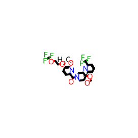 COc1nc(C(=O)N2CC[C@]3(c4cccc(C(F)(F)F)n4)OCOC3C2)ccc1OCCOC(F)(F)F